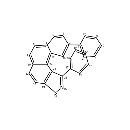 c1ccc(-c2ccc3ccc4ccc5snc(-c6ccccc6)c5c4c3c2)cc1